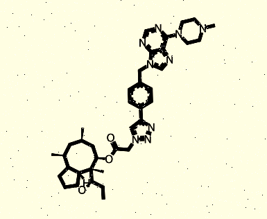 CC[C@@H](C)[C@]1(C)[C@@H]2C(=O)CCC2[C@@H](C)C[C@@H](C)C[C@H]1OC(=O)Cn1cc(-c2ccc(Cn3cnc4c(N5CCN(C)CC5)ncnc43)cc2)nn1